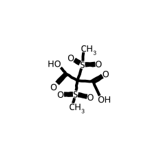 CS(=O)(=O)C(C(=O)O)(C(=O)O)S(C)(=O)=O